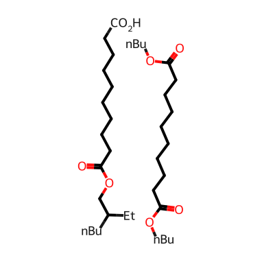 CCCCC(CC)COC(=O)CCCCCCCCC(=O)O.CCCCOC(=O)CCCCCCCCC(=O)OCCCC